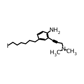 CN(C)CC#Cc1cc(CCCCCCI)ccc1N